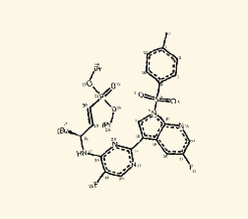 Cc1ccc(S(=O)(=O)n2cc(-c3ncc(F)c(N[C@H](/C=C/P(=O)(OC(C)C)OC(C)C)C(C)(C)C)n3)c3cc(F)cnc32)cc1